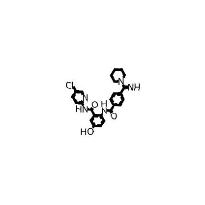 N=C(c1ccc(C(=O)Nc2ccc(O)cc2C(=O)Nc2ccc(Cl)cn2)cc1)N1CCCCC1